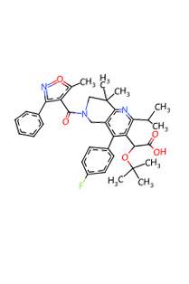 Cc1onc(-c2ccccc2)c1C(=O)N1Cc2c(nc(C(C)C)c(C(OC(C)(C)C)C(=O)O)c2-c2ccc(F)cc2)C(C)(C)C1